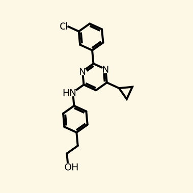 OCCc1ccc(Nc2cc(C3CC3)nc(-c3cccc(Cl)c3)n2)cc1